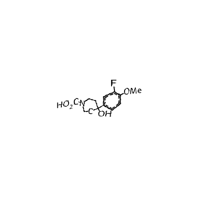 COc1ccc(C2(O)CCN(C(=O)O)CC2)cc1F